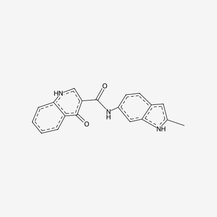 Cc1cc2ccc(NC(=O)c3c[nH]c4ccccc4c3=O)cc2[nH]1